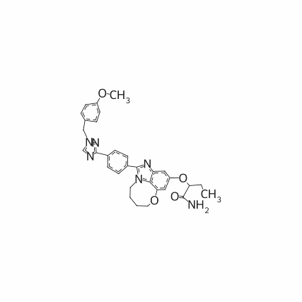 CCC(Oc1cc2c3c(c1)nc(-c1ccc(-c4ncn(Cc5ccc(OC)cc5)n4)cc1)n3CCCCO2)C(N)=O